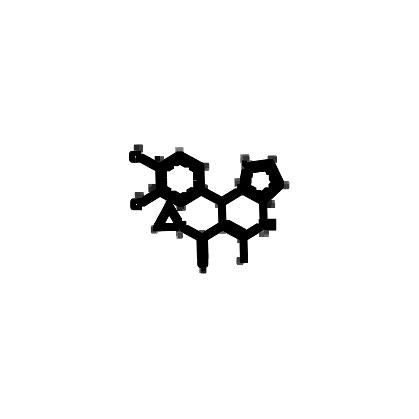 CC1=C(C(=O)N2CC2)C(c2ccc(Cl)c(Cl)c2)n2nccc2N1